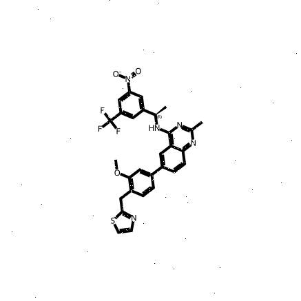 COc1cc(-c2ccc3nc(C)nc(N[C@H](C)c4cc([N+](=O)[O-])cc(C(F)(F)F)c4)c3c2)ccc1Cc1nccs1